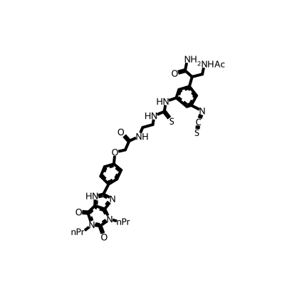 CCCn1c(=O)c2[nH]c(-c3ccc(OCC(=O)NCCNC(=S)Nc4cc(N=C=S)cc(C(CNC(C)=O)C(N)=O)c4)cc3)nc2n(CCC)c1=O